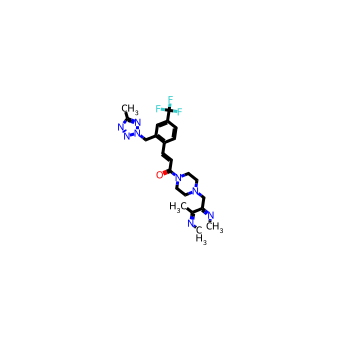 C/N=C(C)\C(CN1CCN(C(=O)/C=C/c2ccc(C(F)(F)F)cc2Cn2nnc(C)n2)CC1)=N/C